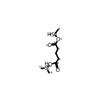 C[SiH](C)OC(=O)CCCC(=O)O[SiH](C)C